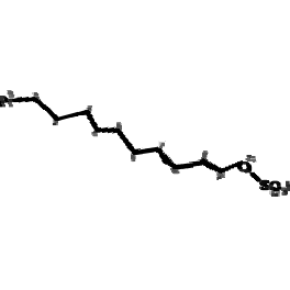 CC(C)CCCCCCCCCCOS(=O)(=O)O